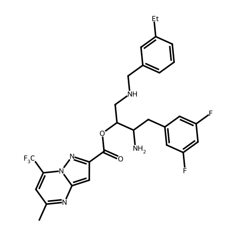 CCc1cccc(CNCC(OC(=O)c2cc3nc(C)cc(C(F)(F)F)n3n2)C(N)Cc2cc(F)cc(F)c2)c1